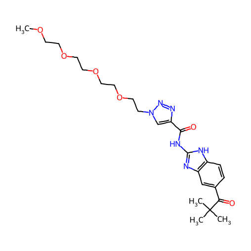 COCCOCCOCCOCCn1cc(C(=O)Nc2nc3cc(C(=O)C(C)(C)C)ccc3[nH]2)nn1